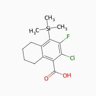 C[Si](C)(C)c1c(F)c(Cl)c(C(=O)O)c2c1CCCC2